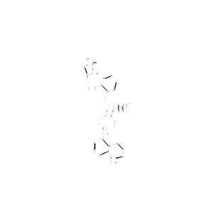 Cc1ccc2c(N3CCN(CCc4cccc5c4OCc4cncn4-5)CC3)cccc2n1.Cl.Cl